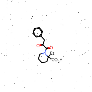 CCC1(C(=O)O)CCCCN1C(=O)C(=O)Cc1ccccc1